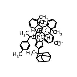 CC1=CC=CC2[CH](/[Zr+2]([C]3=CC(C4(C)C5CC6CC(C5)CC4C6)=CC3C)=[C](\C)c3ccc(C)cc3)C3(C)C4(C)C=CC=CC4(C)C4(C)C=CC=CC4(C)C3(C)C12C.[Cl-].[Cl-]